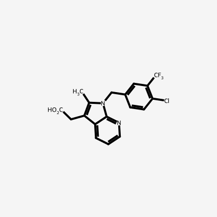 Cc1c(CC(=O)O)c2cccnc2n1Cc1ccc(Cl)c(C(F)(F)F)c1